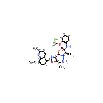 COc1ccc(-c2nc(C(=O)N[C@H](C)C(=O)Nc3ccccc3OC(F)F)c([C@H](C)N)o2)c2ccc(C(F)(F)F)nc12